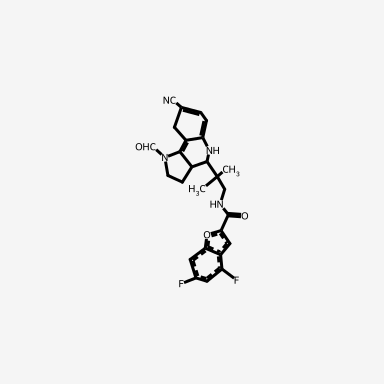 CC(C)(CNC(=O)c1cc2c(F)cc(F)cc2o1)C1NC2=CC=C(C#N)CC2=C2C1CCN2C=O